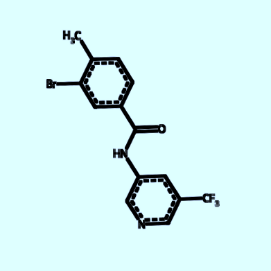 Cc1ccc(C(=O)Nc2cncc(C(F)(F)F)c2)cc1Br